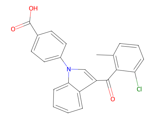 Cc1cccc(Cl)c1C(=O)c1cn(-c2ccc(C(=O)O)cc2)c2ccccc12